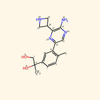 Cc1ccc(C(O)(CO)C(F)(F)F)cc1-c1cnc(N)c(C2CNC2)n1